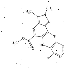 COC(=O)c1cc2c(C)n(C)nc2c(F)c1Nc1ccccc1F